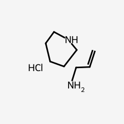 C1CCNCC1.C=CCN.Cl